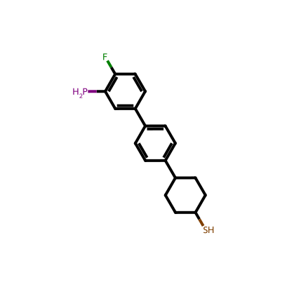 Fc1ccc(-c2ccc(C3CCC(S)CC3)cc2)cc1P